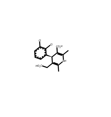 CC1=C(CC(=O)O)[C@@H](c2cccc(Cl)c2Cl)C(C(=O)O)=C(C)N1